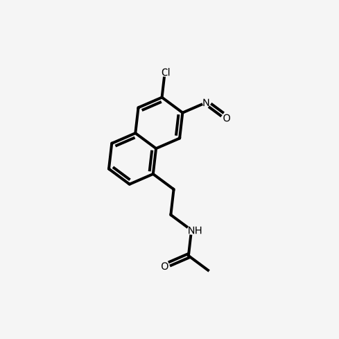 CC(=O)NCCc1cccc2cc(Cl)c(N=O)cc12